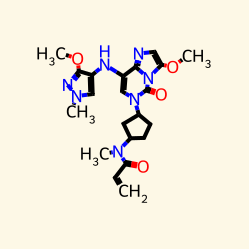 C=CC(=O)N(C)C1CCC(n2cc(Nc3cn(C)nc3OC)c3ncc(OC)n3c2=O)C1